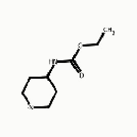 CCOC(=O)NC1CC[N]CC1